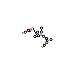 C=Cc1ccc(-c2ccc3c(c2)c2cc(-c4ccc(N(c5ccc(-c6ccccc6)cc5)c5ccc6c(c5)C(CCCCC(CC)COc5cc(C)c(-c7ccc(C=C)cc7)cc5C)(c5ccccc5)c5ccccc5-6)cc4)ccc2n3-c2ccccc2)cc1